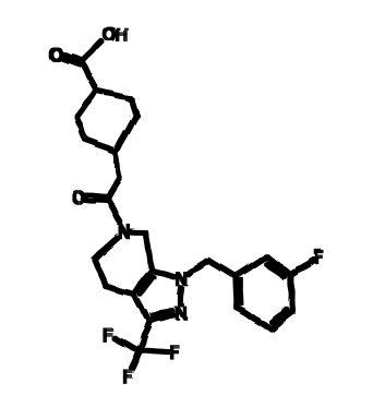 O=C(O)C1CCC(CC(=O)N2CCc3c(C(F)(F)F)nn(Cc4cccc(F)c4)c3C2)CC1